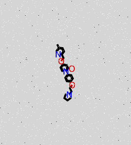 Cc1ccc(COc2ccn(-c3ccc(OCCN4CCCC4)cc3)c(=O)c2)nc1